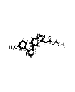 CCOC(=O)Cc1nnc2ccc(-c3ocnc3-c3cccc(C)c3)cn12